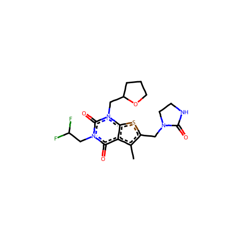 Cc1c(CN2CCNC2=O)sc2c1c(=O)n(CC(F)F)c(=O)n2CC1CCCO1